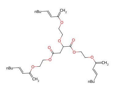 C=C(C=CCCCC)OCCOC(=O)CC(OCCOC(=C)C=CCCCC)C(=O)OCCOC(=C)C=CCCCC